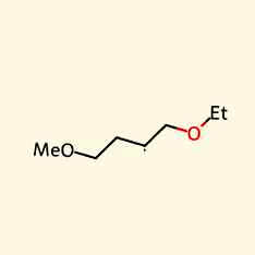 CCOC[CH]CCOC